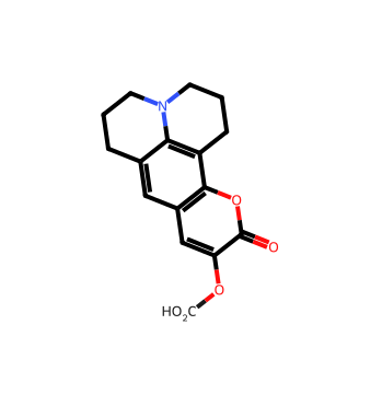 O=C(O)Oc1cc2cc3c4c(c2oc1=O)CCCN4CCC3